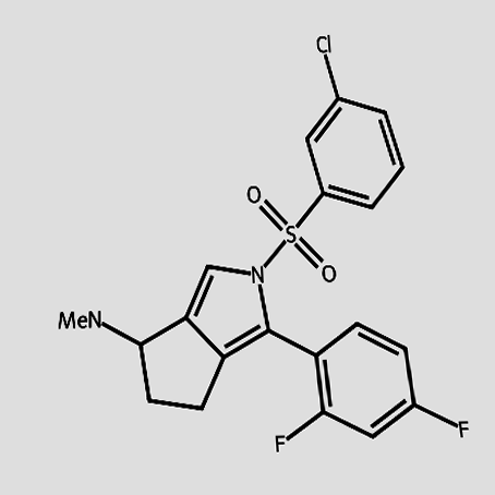 CNC1CCc2c1cn(S(=O)(=O)c1cccc(Cl)c1)c2-c1ccc(F)cc1F